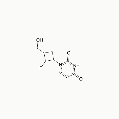 O=c1ccn(C2CC(CO)C2F)c(=O)[nH]1